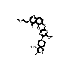 COCCn1cnc2ccc(Sc3cnc(N4CCC5(CC4)CO[C@@H](C)[C@H]5N)c(OC)n3)c(Cl)c2c1=O